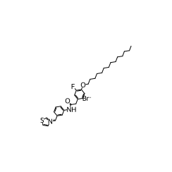 CCCCCCCCCCCCCCOc1ccc(CC(=O)Nc2cccc(C[n+]3ccsc3)c2)cc1F.[Br-]